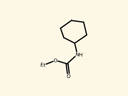 CCOC(=O)NC1CC[CH]CC1